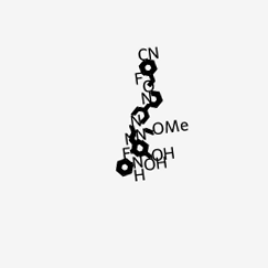 COCCn1c(CN2CCC(c3cccc(OCc4ccc(C#N)cc4F)n3)CC2)nc2c(F)c(Nc3ccccc3)c(C(O)O)cc21